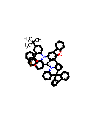 CC(C)(C)c1ccc(N2c3cc4c(oc5ccccc54)c4c3B(c3ccc5sc6ccccc6c5c32)N2c3ccccc3C3(c5ccccc5-c5ccccc53)c3cccc-4c32)c(-c2ccccc2)c1